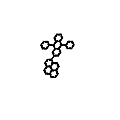 c1ccc(-c2c3ccccc3c(-c3ccccc3)c3cc(-c4ccc5ccc6cccc7ccc4c5c67)ccc23)cc1